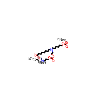 CCCCCCCCCOC(=O)OCCCCCCN(CCCCCCCC(=O)OC(CCCCCCCC)CCCCCCCC)CCOC(=O)OCCCN(CC)CC